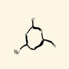 CCc1cc(C(C)(C)C)nc(CC)n1